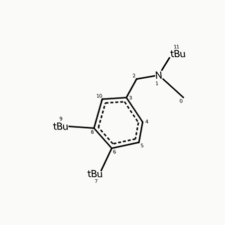 CN(Cc1ccc(C(C)(C)C)c(C(C)(C)C)c1)C(C)(C)C